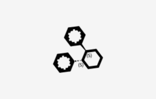 c1ccc([C@H]2CCCC[C@@H]2c2ccccc2)cc1